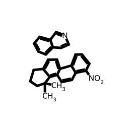 CC1(C)CCCc2ccc3c(ccc4c([N+](=O)[O-])cccc43)c21.c1ccc2cnccc2c1